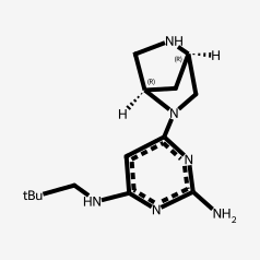 CC(C)(C)CNc1cc(N2C[C@H]3C[C@@H]2CN3)nc(N)n1